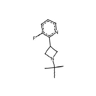 CC(C)(C)N1CC(c2ncccc2F)C1